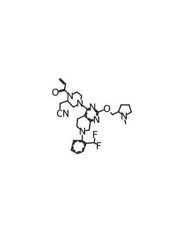 C=CC(=O)N1CCN(c2nc(OCC3CCCN3C)nc3c2CCN(c2ccccc2C(F)F)C3)CC1CC#N